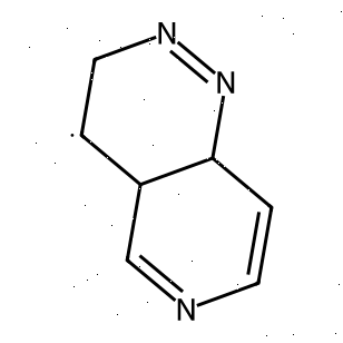 [CH]1CN=NC2C=CN=CC12